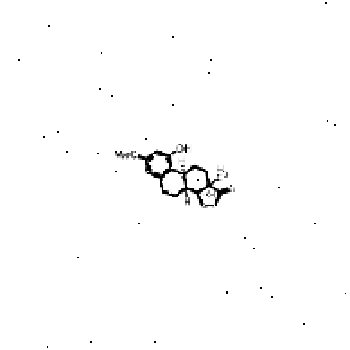 COc1cc(O)c2c(c1)CC[C@@H]1[C@@H]2CC[C@]2(C)C(=O)CC[C@@H]12